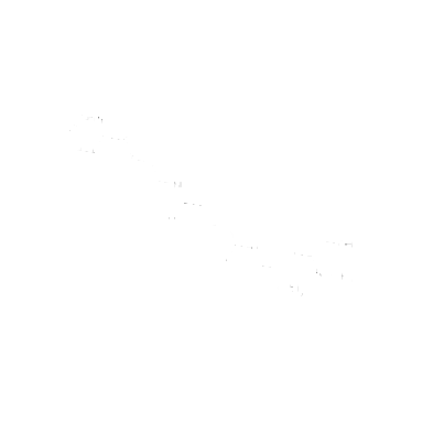 CN(C)C(CO)OC(O)COC(=O)CCCC(=O)NCCSSc1ccccn1